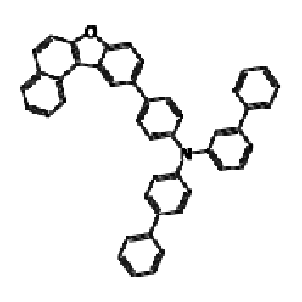 c1ccc(-c2ccc(N(c3ccc(-c4ccc5oc6ccc7ccccc7c6c5c4)cc3)c3cccc(-c4ccccc4)c3)cc2)cc1